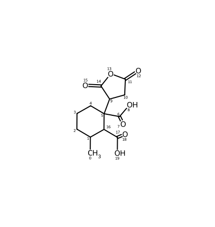 CC1CCCC(C(=O)O)(C2CC(=O)OC2=O)C1C(=O)O